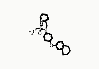 O=S(=O)(CC(F)(F)F)N(Cc1ccccn1)c1ccc(Oc2ccc3c(c2)CCCC3)cc1